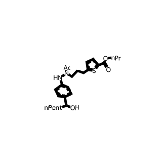 CCCCCC(O)c1ccc(NN(CCCc2ccc(C(=O)OCCC)s2)C(C)=O)cc1